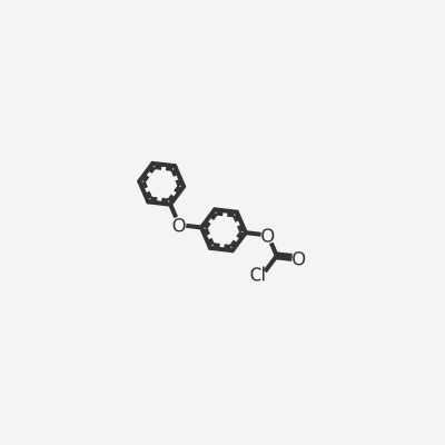 O=C(Cl)Oc1ccc(Oc2ccccc2)cc1